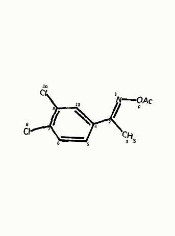 CC(=O)ON=C(C)c1ccc(Cl)c(Cl)c1